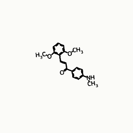 CNc1ccc(C(=O)/C=C/c2c(OC)cccc2OC)cc1